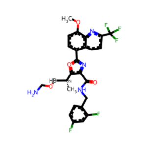 COc1ccc(-c2nc(C(=O)NCc3ccc(F)cc3F)c([C@H](C)BOCN)o2)c2ccc(C(F)(F)F)nc12